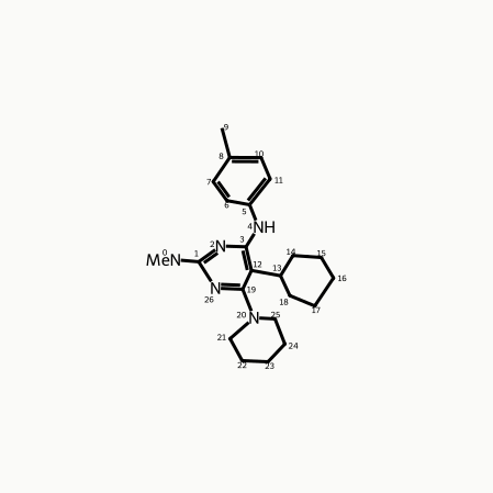 CNc1nc(Nc2ccc(C)cc2)c(C2CCCCC2)c(N2CCCCC2)n1